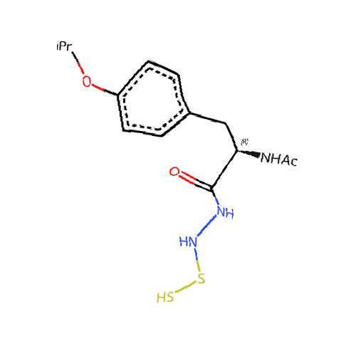 CC(=O)N[C@H](Cc1ccc(OC(C)C)cc1)C(=O)NNSS